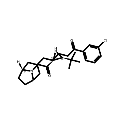 CC(C)(C)[C@@H]1N[C@@H]1C(=O)CN1C2CC[C@@H]1CC(CCCCC(=O)c1cccc(Cl)c1)C2